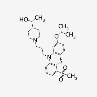 CC(C)Oc1ccc2c(c1)N(CCCN1CCC(C(C)O)CC1)c1cccc(S(C)(=O)=O)c1S2